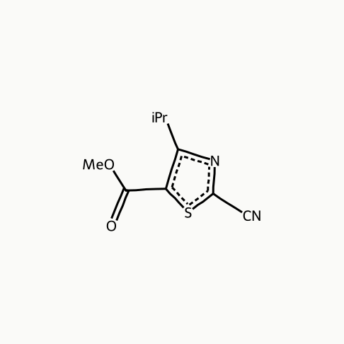 COC(=O)c1sc(C#N)nc1C(C)C